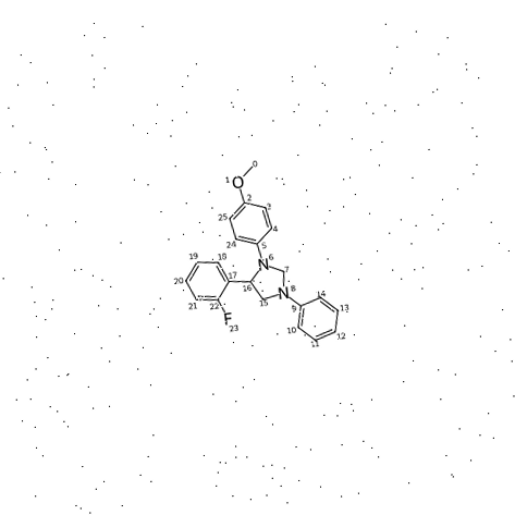 COc1ccc(N2CN(c3ccccc3)CC2c2ccccc2F)cc1